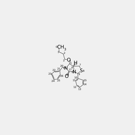 CCCCOC1[C@@H]2CSC(c3ccccc3)N2C(=O)N1Cc1ccccc1